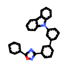 c1ccc(-c2nc(-c3cccc(-c4cccc(-n5c6ccccc6c6ccccc65)c4)c3)no2)cc1